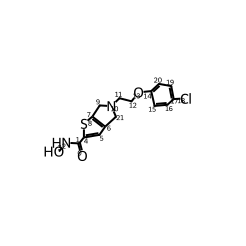 O=C(NO)c1cc2c(s1)CN(CCOc1ccc(Cl)cc1)C2